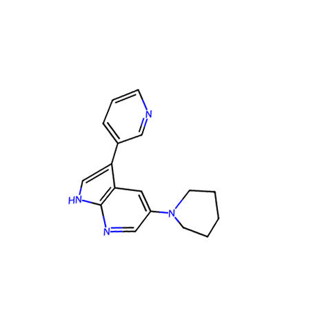 c1cncc(-c2c[nH]c3ncc(N4CCCCC4)cc23)c1